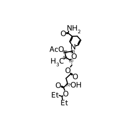 CCC(CC)OC(=O)[C@@H](O)CC(=O)OC[C@H]1O[C@@H](N2C=CCC(C(N)=O)=C2)[C@H](OC(C)=O)[C@@H]1C